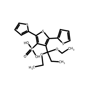 CCOC(CC)(OCC)c1c(-c2cccs2)sc(-c2cccs2)c1P(=O)(O)O